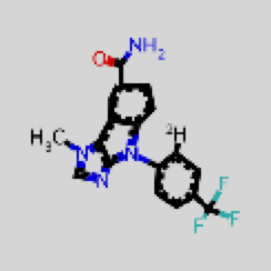 [2H]c1cc(C(F)(F)F)ccc1-n1c2ccc(C(N)=O)cc2c2c1ncn2C